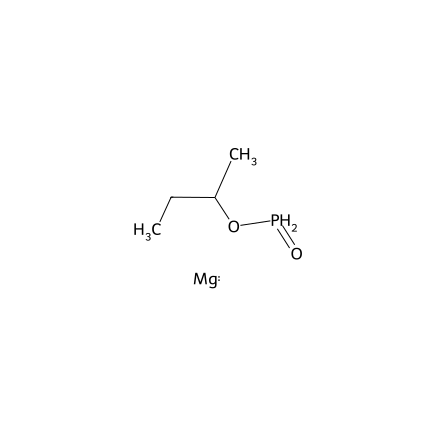 CCC(C)O[PH2]=O.[Mg]